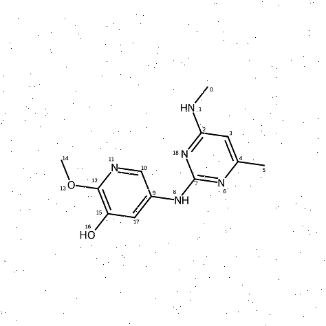 CNc1cc(C)nc(Nc2cnc(OC)c(O)c2)n1